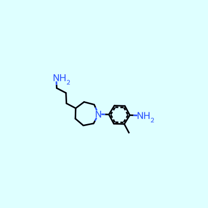 Cc1cc(N2CCCC(CCCN)CC2)ccc1N